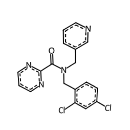 O=C(c1ncccn1)N(Cc1cccnc1)Cc1ccc(Cl)cc1Cl